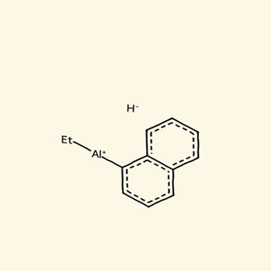 C[CH2][Al+][c]1cccc2ccccc12.[H-]